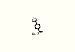 CC(C)COC(=O)C1CCC(C(=O)OC(C)(C)C)CC1